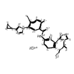 Cc1cc(F)c(C(=O)Nc2cccc(-c3nncn3C(C)CF)n2)cc1-n1cnc(C2CC2)c1.Cl